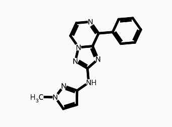 Cn1ccc(Nc2nc3c(-c4ccccc4)nccn3n2)n1